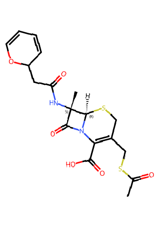 CC(=O)SCC1=C(C(=O)O)N2C(=O)[C@](C)(NC(=O)CC3C=CC=CO3)[C@H]2SC1